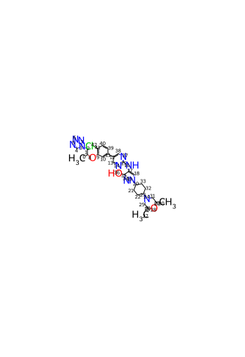 CC(Cn1cnnn1)Oc1cc(-c2cnc(Nc3cn(C4CCC(N5C[C@@H](C)O[C@@H](C)C5)CC4)nc3O)nc2)ccc1Cl